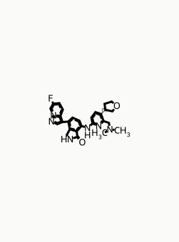 CN(C)Cc1nc(Nc2ccc(-c3cnn4cc(F)ccc34)c3c2C(=O)NC3)ccc1[C@@H]1CCOC1